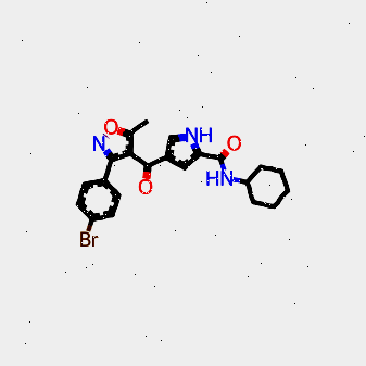 Cc1onc(-c2ccc(Br)cc2)c1C(=O)c1c[nH]c(C(=O)NC2CCCCC2)c1